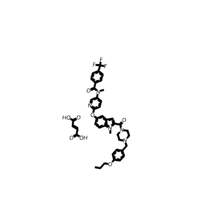 CCCOc1ccc(CN2CCN(C(=O)c3cc4cc(Oc5ccc(N(C)C(=O)c6ccc(C(F)(F)F)cc6)cn5)ccc4n3C)CC2)cc1.O=C(O)C=CC(=O)O